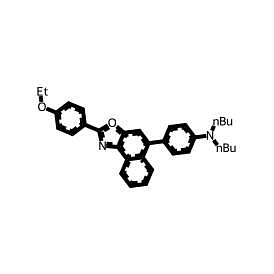 CCCCN(CCCC)c1ccc(-c2cc3oc(-c4ccc(OCC)cc4)nc3c3ccccc23)cc1